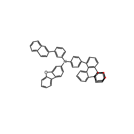 c1ccc(-c2ccccc2-c2c(-c3ccccc3)cccc2-c2ccc(N(c3cccc(-c4ccc5ccccc5c4)c3)c3ccc4c(c3)oc3ccccc34)cc2)cc1